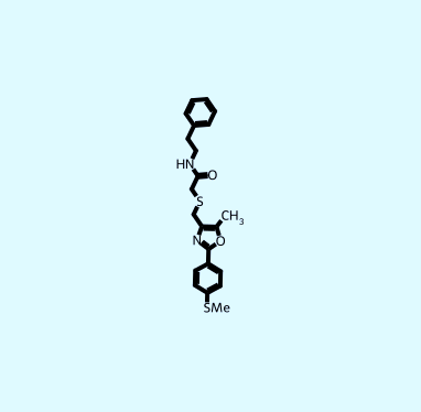 CSc1ccc(-c2nc(CSCC(=O)NCCc3ccccc3)c(C)o2)cc1